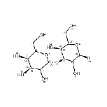 OCC1O[C@H](O[C@@H]2C(O)[C@H](O)OC(CO)[C@@H]2O)C(O)[C@@H](O)[C@H]1O